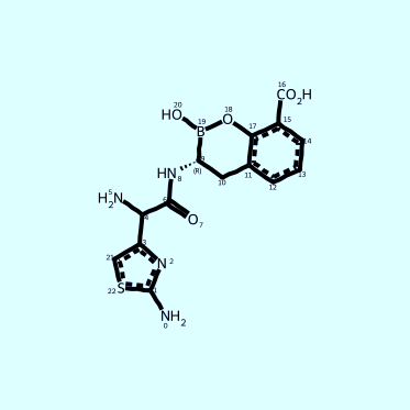 Nc1nc(C(N)C(=O)N[C@H]2Cc3cccc(C(=O)O)c3OB2O)cs1